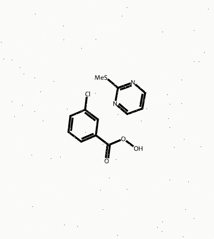 CSc1ncccn1.O=C(OO)c1cccc(Cl)c1